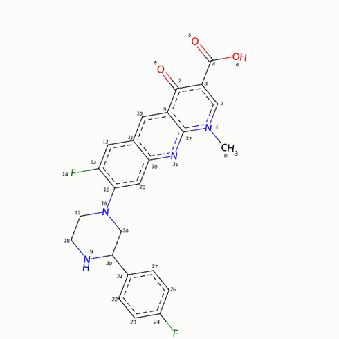 Cn1cc(C(=O)O)c(=O)c2cc3cc(F)c(N4CCNC(c5ccc(F)cc5)C4)cc3nc21